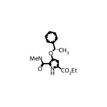 CCOC(=O)c1cc(O[C@@H](C)c2ccccc2)c(C(=O)NC)[nH]1